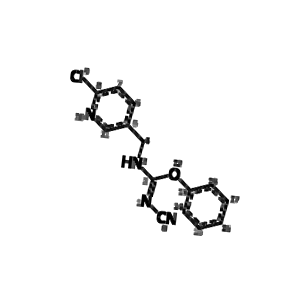 N#C/N=C(/NCc1ccc(Cl)nc1)Oc1ccccc1